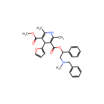 COC(=O)C1=C(C)NC(C)=C(C(=O)OC(CN(C)Cc2ccccc2)c2ccccc2)C1c1ccco1